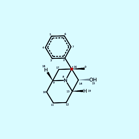 C[C@H](c1ccccc1)N1[C@@H]2CCC[C@H]1[C@@H](O)CC2